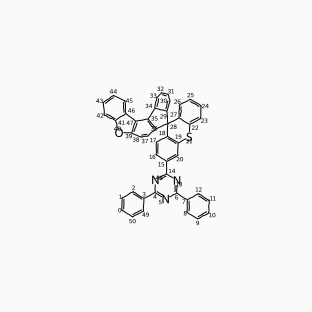 c1ccc(-c2nc(-c3ccccc3)nc(-c3ccc4c(c3)Sc3ccccc3C43c4ccccc4-c4c3ccc3oc5ccccc5c43)n2)cc1